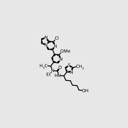 CCN(C(=O)NC(CCCCCO)c1csc(C)n1)C(C)c1cnc(OC)c(-c2cn3ccnc3c(Cl)n2)c1